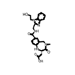 CN1Cc2cc(C(=O)NCc3nc4ccccc4n3CCO)ccc2N[C@@H](CC(=O)O)C1=O